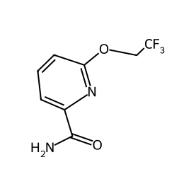 NC(=O)c1cccc(OCC(F)(F)F)n1